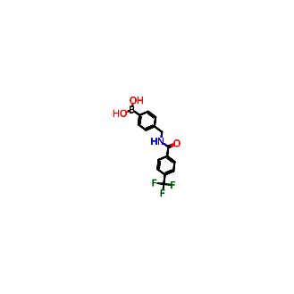 O=C(NCc1ccc(B(O)O)cc1)c1ccc(C(F)(F)F)cc1